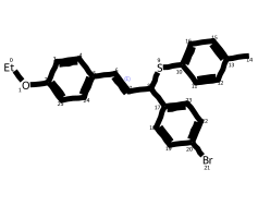 CCOc1ccc(/C=C/C(Sc2ccc(C)cc2)c2ccc(Br)cc2)cc1